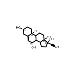 C#C[C@]1(O)CCC2C3C(CC[C@@]21C)[C@@]1(C)CC[C@H](O)CC1=C[C@H]3O